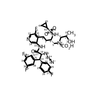 C[C@H](O)CN(C[C@H](CCc1c(F)cncc1NC(=O)[C@@H](N=[N+]=[N-])[C@@H](c1ccc(F)cc1)c1cc(F)cc(F)c1)NS(=O)(=O)C1CC1)C(=O)O